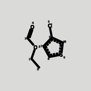 CCOC=O.Clc1ccsc1